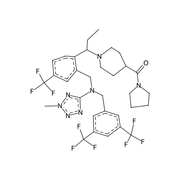 CCC(c1ccc(C(F)(F)F)cc1CN(Cc1cc(C(F)(F)F)cc(C(F)(F)F)c1)c1nnn(C)n1)N1CCC(C(=O)N2CCCC2)CC1